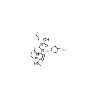 CCCC[C@@H](C[C@@H](CCc1ccc(CCC)cc1)C(=O)N1NCCC[C@H]1C(=O)NC)C(=O)O